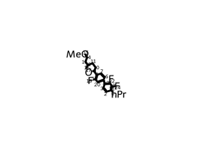 CCCc1ccc(-c2ccc(C3CCC(CCOC)CO3)c(F)c2)c(F)c1F